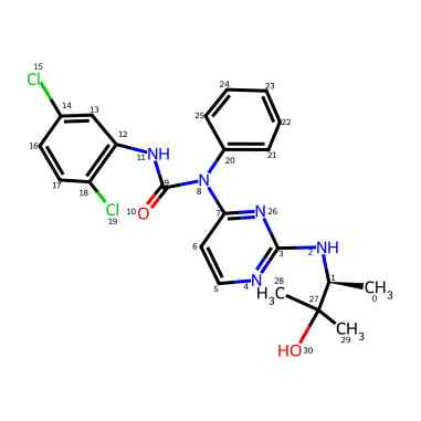 C[C@H](Nc1nccc(N(C(=O)Nc2cc(Cl)ccc2Cl)c2ccccc2)n1)C(C)(C)O